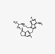 CC(C)NCCCn1c(Cc2cc3c(cc2I)CCC3=S)nc2c(N)nc(F)nc21